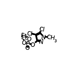 CCOP(=O)(OCC)Oc1nn(C)c(Cl)c1Cl